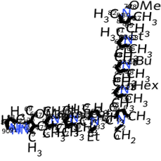 C=CCn1c(C)cc(C)c1C.CCC=Cn1c(C)cc(C)c1C.CCCCCCn1c(C)cc(C)c1C.CCCCCn1c(C)cc(C)c1C.CCCCn1c(C)cc(C)c1C.CCCn1c(C)cc(C)c1C.CCn1c(C)cc(C)c1C.COC(C)c1c(C)[nH]c(C)c1C.COCn1c(C)cc(C)c1C.c1cc[nH]c1